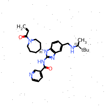 C=CC(=O)N1CCC[C@@H](n2c(NC(=O)c3cccnc3)nc3cc(CN[C@@H](C)C(C)(C)C)ccc32)CC1